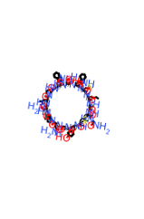 CCCC[C@H]1C(=O)N[C@@H](C)C(=O)NC(C(=O)NCC(N)=O)CSCC(=O)N[C@@H](Cc2ccc(O)cc2)C(=O)N(C)[C@@H](C)C(=O)N[C@@H](CC(N)=O)C(=O)N2CCC[C@H]2C(=O)N[C@@H](CN)C(=O)N[C@@H](CC(C)C)C(=O)N2CCCC2C(=O)N[C@@H](Cc2c[nH]c3ccccc23)C(=O)N[C@@H](CO)C(=O)N[C@@H](Cc2c[nH]c3ccccc23)C(=O)N(C)[C@@H](CCSC)C(=O)N1C